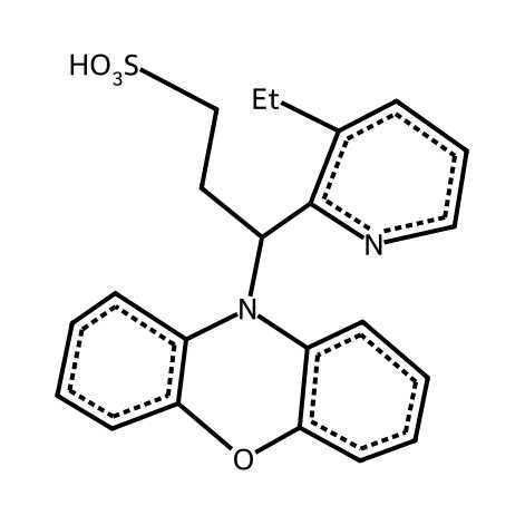 CCc1cccnc1C(CCS(=O)(=O)O)N1c2ccccc2Oc2ccccc21